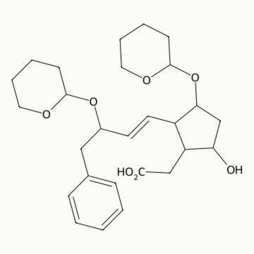 O=C(O)CC1C(O)CC(OC2CCCCO2)C1C=CC(Cc1ccccc1)OC1CCCCO1